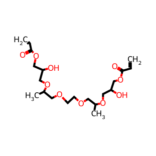 C=CC(=O)OCC(O)COC(C)COCCOCC(C)OCC(O)COC(=O)C=C